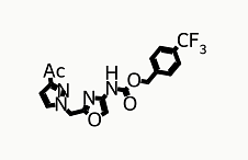 CC(=O)c1ccn(Cc2nc(NC(=O)OCc3ccc(C(F)(F)F)cc3)co2)n1